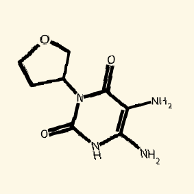 Nc1[nH]c(=O)n(C2CCOC2)c(=O)c1N